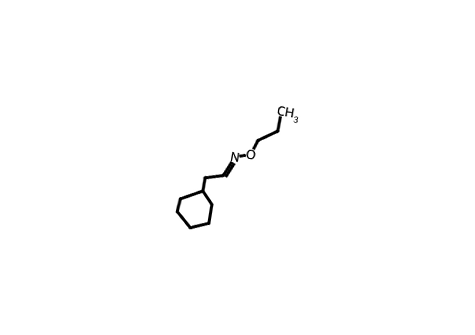 CCCO/N=C/CC1CCCCC1